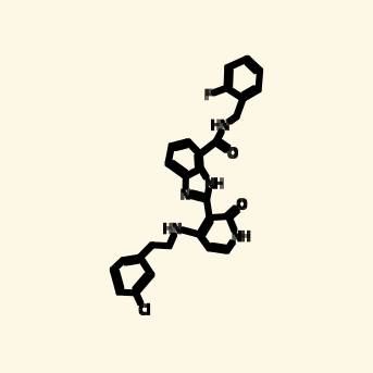 O=C(NCc1ccccc1F)c1cccc2nc(-c3c(NCCc4cccc(Cl)c4)cc[nH]c3=O)[nH]c12